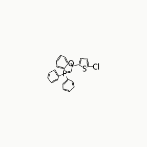 O=C(C=P(c1ccccc1)(c1ccccc1)c1ccccc1)c1ccc(Cl)s1